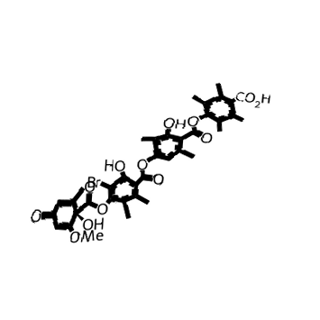 COC1=CC(=O)C=C(C)[C@]1(O)C(=O)Oc1c(C)c(C)c(C(=O)Oc2cc(C)c(C(=O)Oc3c(C)c(C)c(C(=O)O)c(C)c3C)c(O)c2C)c(O)c1Br